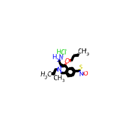 CCCCOC1=C(CN)N(CC(C)C)Cc2ccc(C(=S)N=O)cc21.Cl